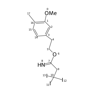 COc1cc(CCOC(=N)CC(I)(I)I)ccc1C